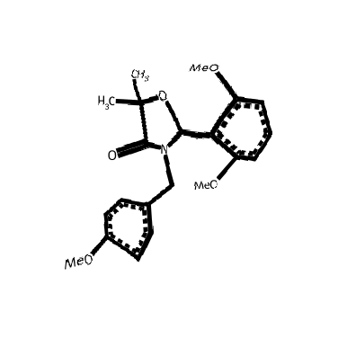 COc1ccc(CN2C(=O)C(C)(C)OC2c2c(OC)cccc2OC)cc1